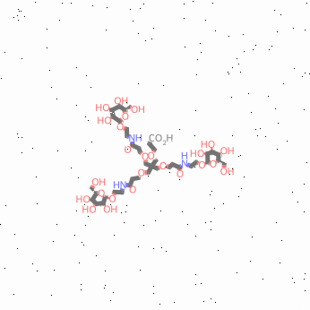 O=C(O)CCOCC(COCCC(=O)NCCO[C@@H]1O[C@H](CO)[C@@H](O)[C@H](O)[C@@H]1O)(COCCC(=O)NCCO[C@@H]1O[C@H](CO)[C@@H](O)[C@H](O)[C@@H]1O)COCCC(=O)NCCO[C@@H]1O[C@H](CO)[C@@H](O)[C@H](O)[C@@H]1O